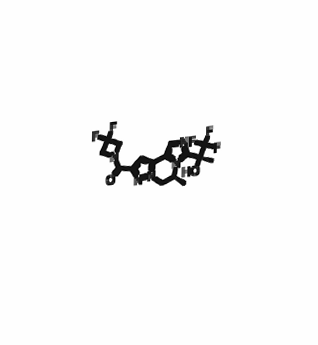 C[C@H]1Cn2nc(C(=O)N3CC(F)(F)C3)cc2-c2cnc([C@@](C)(O)C(F)(F)F)n21